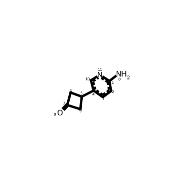 Nc1ccc(C2CC(=O)C2)cn1